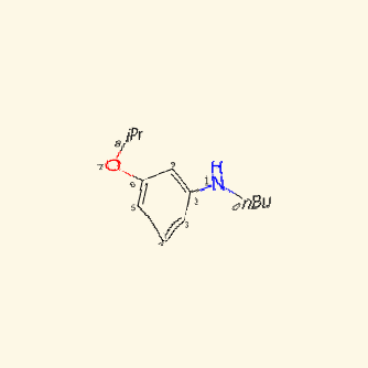 CCCCNc1cccc(OC(C)C)c1